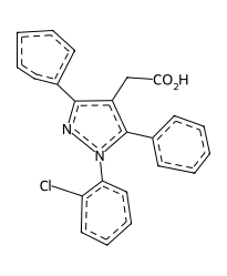 O=C(O)Cc1c(-c2ccccc2)nn(-c2ccccc2Cl)c1-c1ccccc1